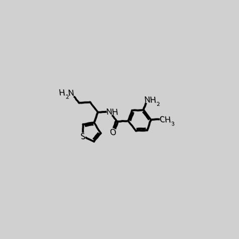 Cc1ccc(C(=O)NC(CCN)c2ccsc2)cc1N